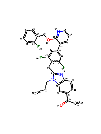 COCCn1c(Cc2c(F)cc(-c3cccnc3OCc3ccccc3F)cc2F)nc2ccc(C(=O)OC)cc21